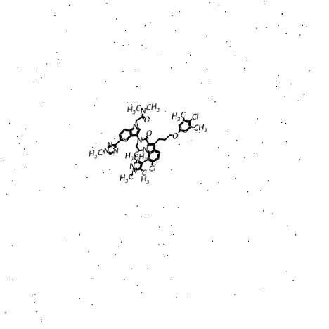 Cc1cc(OCCCc2c3n(c4c(-c5c(C)nn(C)c5C)c(Cl)ccc24)[C@H](C)CN(c2cn(CC(=O)N(C)C)c4ccc(-c5ncn(C)n5)cc24)C3=O)cc(C)c1Cl